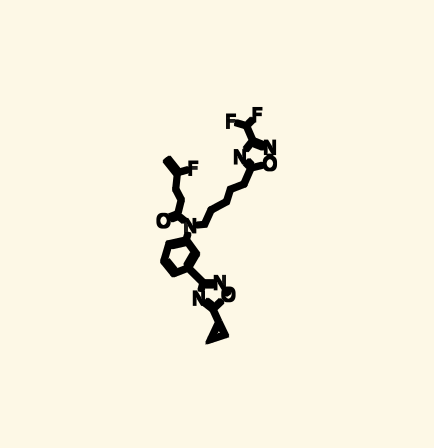 C=C(F)CCC(=O)N(CCCCCc1nc(C(F)F)no1)c1cccc(-c2noc(C3CC3)n2)c1